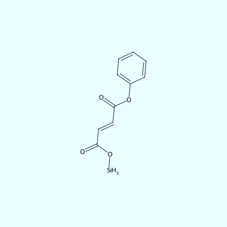 O=C(/C=C/C(=O)Oc1ccccc1)O[SiH3]